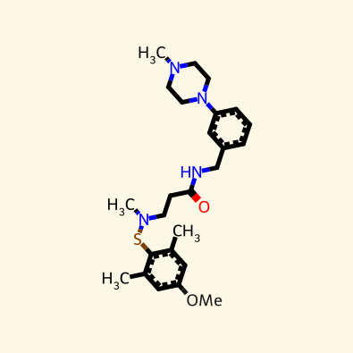 COc1cc(C)c(SN(C)CCC(=O)NCc2cccc(N3CCN(C)CC3)c2)c(C)c1